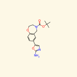 CC(C)(C)OC(=O)N1CCOc2ccc(-c3cnc(N)o3)cc2C1